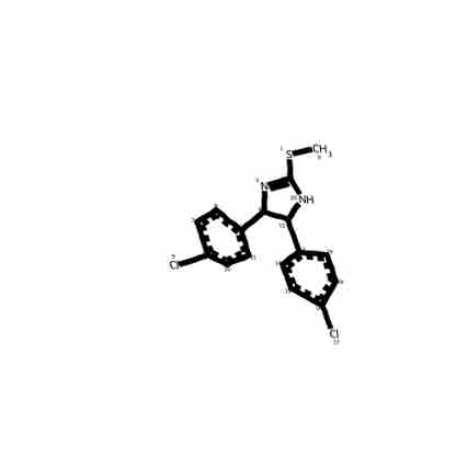 CSC1=NC(c2ccc(Cl)cc2)C(c2ccc(Cl)cc2)N1